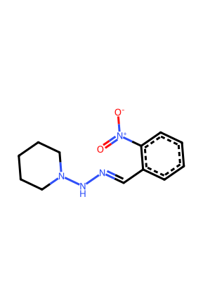 O=[N+]([O-])c1ccccc1C=NNN1CCCCC1